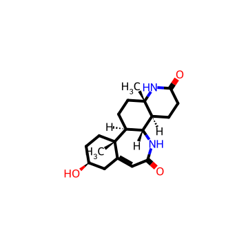 C[C@]12CC[C@H](O)CC1=CC(=O)N[C@@H]1[C@@H]2CC[C@]2(C)NC(=O)CC[C@@H]12